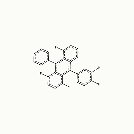 Fc1ccc(-c2c3cccc(F)c3c(-c3ccccc3)c3c(F)ccc(F)c23)cc1F